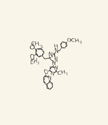 COc1ccc(CNC2=NN(c3cc(Oc4ccc5ccccc5n4)nc(C)n3)C(Cc3ccc(OC)c(OC)c3)=[N+]2)cc1